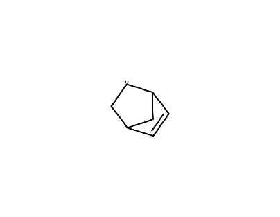 [C]1CC2C=CC1C2